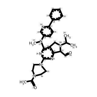 CC(=O)N1CCN(c2nc3c(c(N(C)c4ccc(-c5ccccc5)nc4)n2)CN(C(C)C)C3C=O)CC1